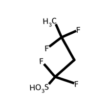 CC(F)(F)CC(F)(F)S(=O)(=O)O